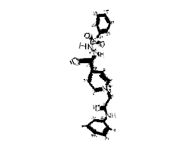 O=C(C[n+]1ccc(C(=O)NNS(=O)(=O)c2ccccc2)cc1)Nc1ccccc1